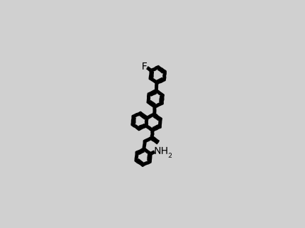 C=C(Cc1ccccc1N)c1ccc(-c2ccc(-c3cccc(F)c3)cc2)c2ccccc12